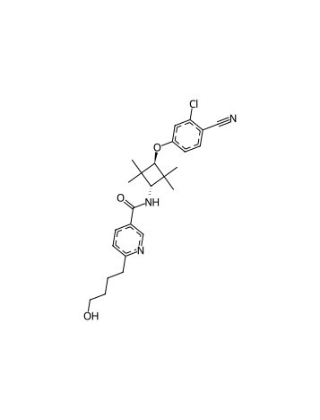 CC1(C)[C@H](NC(=O)c2ccc(CCCCO)nc2)C(C)(C)[C@H]1Oc1ccc(C#N)c(Cl)c1